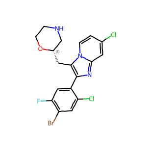 Fc1cc(-c2nc3cc(Cl)ccn3c2C[C@H]2CNCCO2)c(Cl)cc1Br